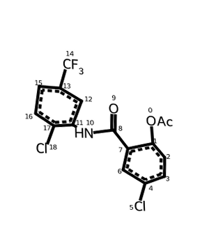 CC(=O)Oc1ccc(Cl)cc1C(=O)Nc1cc(C(F)(F)F)ccc1Cl